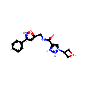 O=C(NCc1cc(-c2ccccc2)no1)c1cn(C2COC2)nn1